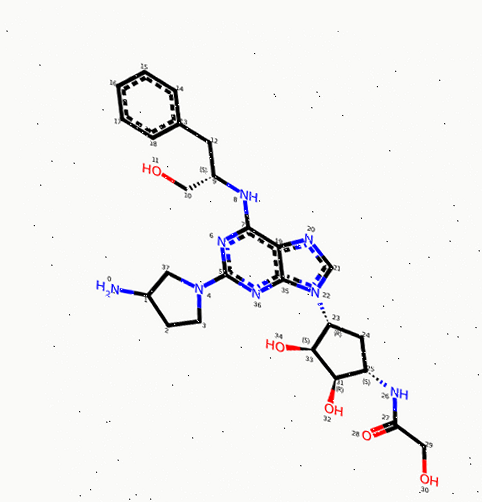 NC1CCN(c2nc(N[C@H](CO)Cc3ccccc3)c3ncn([C@@H]4C[C@H](NC(=O)CO)[C@@H](O)[C@H]4O)c3n2)C1